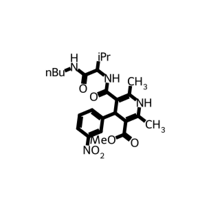 CCCCNC(=O)C(NC(=O)C1=C(C)NC(C)=C(C(=O)OC)C1c1cccc([N+](=O)[O-])c1)C(C)C